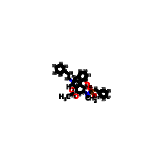 CC(=O)O[C@@]12CCC(N(C)S(=O)(=O)Cc3ccccc3)C3Oc4cccc5c4[C@@]31CCN(CCc1ccccc1)[C@@H]2C5